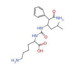 CC(C)CC(NC(=O)NC(CCCCN)C(=O)O)C(C(N)=O)c1ccccc1